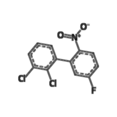 O=[N+]([O-])c1ccc(F)cc1-c1cccc(Cl)c1Cl